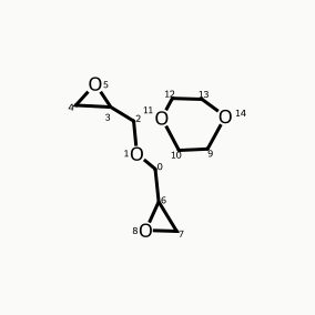 C(OCC1CO1)C1CO1.C1COCCO1